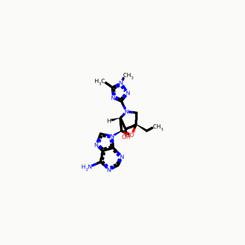 CC[C@@]12CN(c3nc(C)n(C)n3)[C@@H]([C@H](n3cnc4c(N)ncnc43)O1)[C@@H]2O